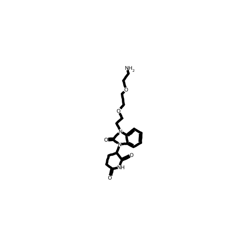 NCCOCCOCCn1c(=O)n(C2CCC(=O)NC2=O)c2ccccc21